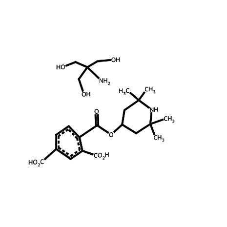 CC1(C)CC(OC(=O)c2ccc(C(=O)O)cc2C(=O)O)CC(C)(C)N1.NC(CO)(CO)CO